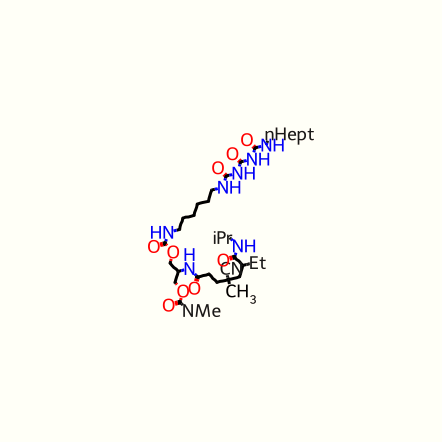 CCCCCCCNC(=O)NC(=O)NC(=O)NCCCCCCNC(=O)OCC(COC(=O)NC)NC(=O)CCC(C)(C#N)CC(CC)C(=O)NC(C)C